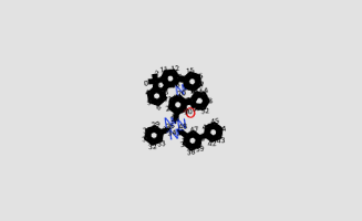 CC1(C)c2ccccc2-c2c1ccc1c3ccccc3n(-c3ccc(-c4nc(-c5ccccc5)nc(-c5cccc(-c6ccccc6)c5)n4)c4oc5ccccc5c34)c21